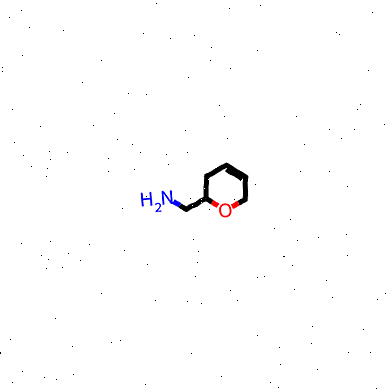 NCC1CC=CCO1